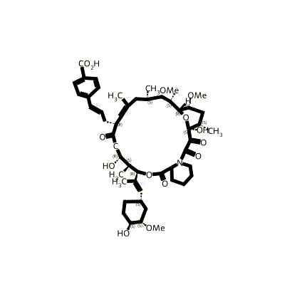 CO[C@H]1C[C@@H](C)C/C(C)=C\[C@@H](C/C=C/c2ccc(C(=O)O)cc2)C(=O)C[C@@H](O)[C@H](C)[C@H](/C(C)=C/[C@H]2CC[C@H](O)[C@@H](OC)C2)OC(=O)C2CCCCN2C(=O)C(=O)[C@@]2(O)O[C@H]1[C@H](OC)C[C@@H]2C